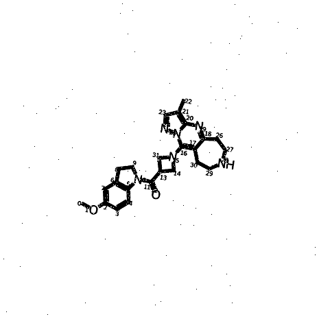 COc1ccc2c(c1)CCN2C(=O)C1CN(c2c3c(nc4c(C)cnn24)CCNCC3)C1